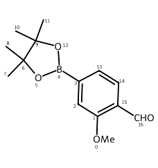 COc1cc(B2OC(C)(C)C(C)(C)O2)ccc1C=O